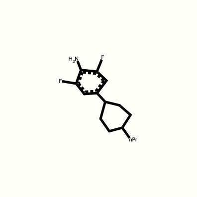 CCCC1CCC(c2cc(F)c(N)c(F)c2)CC1